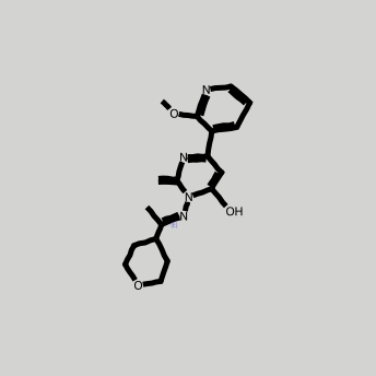 C=C1N=C(c2cccnc2OC)C=C(O)N1/N=C(\C)C1CCOCC1